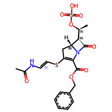 CC(=O)N/C=C/SC1=C(C(=O)OCc2ccccc2)N2C(=O)[C@@H]([C@H](C)OS(=O)(=O)O)[C@H]2C1